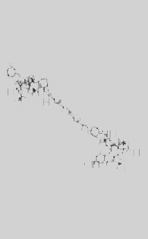 Cc1sc2c(c1C)C(c1ccc(Cl)cc1)=N[C@@H](CC(=O)Nc1ccc(OCCOCCOCCOCCNc3cccc4c3C(=O)N(C3(C(=O)OCc5ccccc5)CCC(=O)NC3=O)C4=O)cc1)c1nnc(C)n1-2